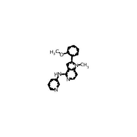 COc1ccccc1-c1cc2c(Nc3cccnc3)nccc2n1C